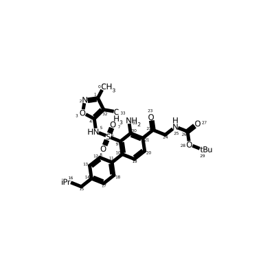 Cc1noc(NS(=O)(=O)c2c(-c3ccc(CC(C)C)cc3)ccc(C(=O)CNC(=O)OC(C)(C)C)c2N)c1C